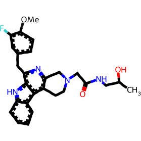 COc1ccc(Cc2nc3c(c4c2[nH]c2ccccc24)CCN(CC(=O)NCC(C)O)C3)cc1F